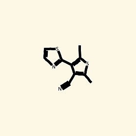 Cc1sc(C)c(-c2nccs2)c1C#N